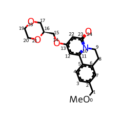 COCc1ccc2c(c1)CCn1c-2cc(OC[C@@H]2COCCO2)cc1=O